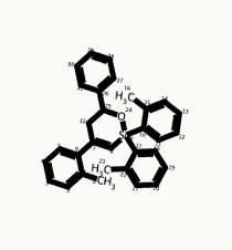 Cc1ccccc1C1=C[Si](c2ccccc2C)(c2ccccc2C)OC(c2ccccc2)C1